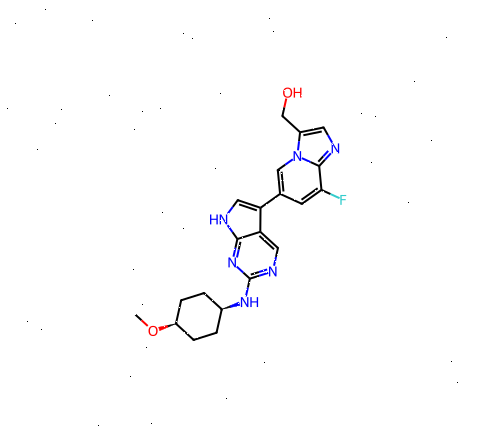 CO[C@H]1CC[C@@H](Nc2ncc3c(-c4cc(F)c5ncc(CO)n5c4)c[nH]c3n2)CC1